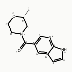 C[C@@H]1CN(C(=O)c2cnc3[nH]ccc3c2)CCO1